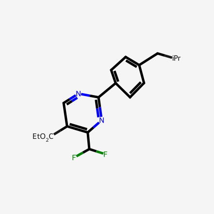 CCOC(=O)c1cnc(-c2ccc(CC(C)C)cc2)nc1C(F)F